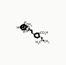 CN(C)C[C@@H]1CC[C@@H](CCB2O[C@H]3C[C@H]4C[C@H](C4(C)C)[C@@]3(C)O2)C[C@@H]1C(=O)O